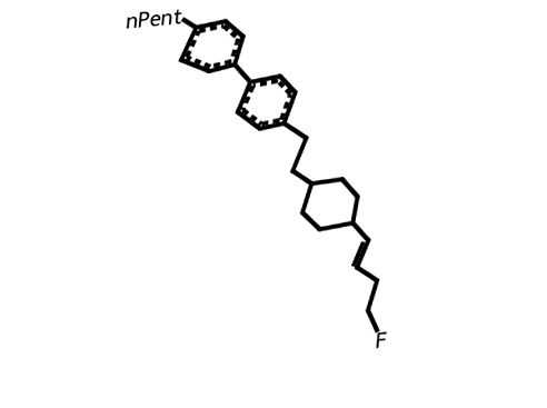 CCCCCc1ccc(-c2ccc(CCC3CCC(C=CCCF)CC3)cc2)cc1